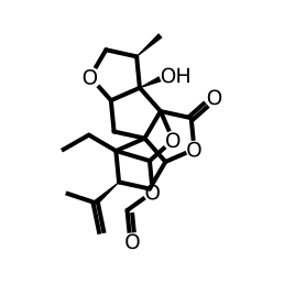 C=C(C)[C@@H]1CC2OC(=O)C34OC(OC=O)C1(CC)C23CC1OC[C@@H](C)[C@@]14O